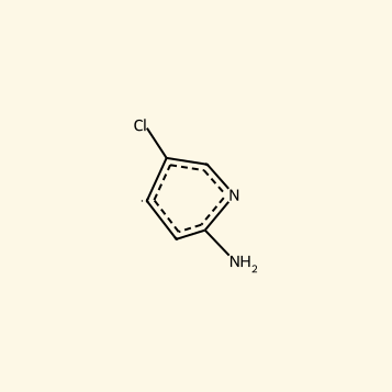 Nc1c[c]c(Cl)cn1